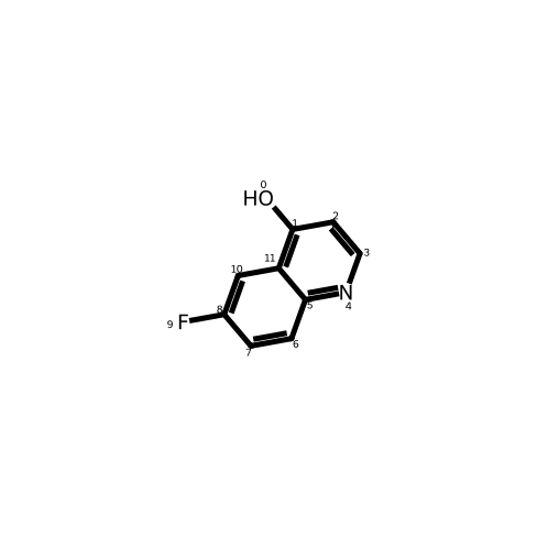 Oc1[c]cnc2ccc(F)cc12